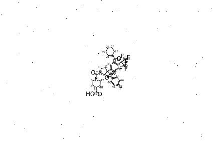 O=C(O)C1CCN(C(=O)N2CCC(c3ccc(C(OCC4CCCCC4)(C(F)(F)F)C(F)(F)F)cc3)(S(=O)(=O)c3ccc(F)cc3)C2)CC1